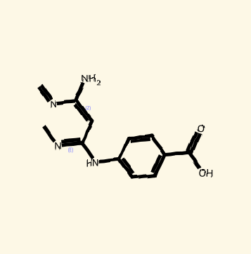 C=N/C(N)=C\C(=N/C)Nc1ccc(C(=O)O)cc1